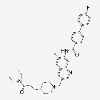 CCN(CC)C(=O)CCC1CCN(Cc2cnc3cc(NC(=O)c4ccc(-c5ccc(F)cc5)cc4)c(C)cc3c2)CC1